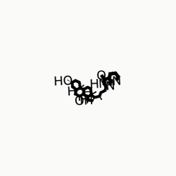 C[C@H](CCc1nc2ncccc2c(=O)[nH]1)[C@H]1CC[C@H]2[C@H]3C(CC[C@]12C)[C@@]1(C)CC[C@@H](O)C[C@H]1C[C@@H]3O